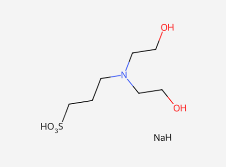 O=S(=O)(O)CCCN(CCO)CCO.[NaH]